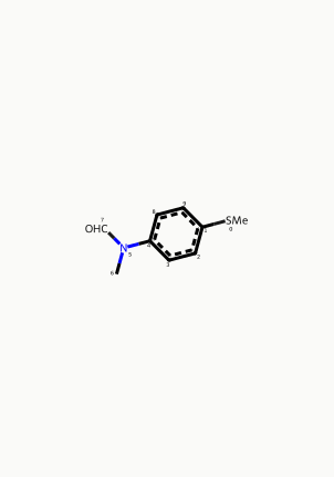 CSc1ccc(N(C)C=O)cc1